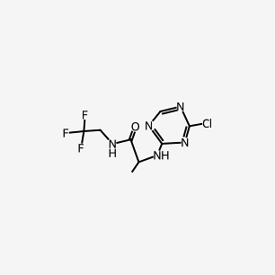 CC(Nc1ncnc(Cl)n1)C(=O)NCC(F)(F)F